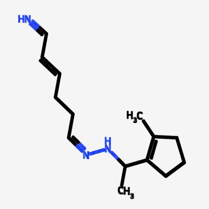 CC1=C(C(C)N/N=C\CC/C=C/C=N)CCC1